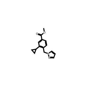 COC(=O)c1ccc(Cn2cccn2)c(C2CC2)c1